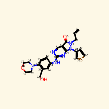 C=CCn1c(=O)c2cnc(Nc3ccc(N4CCOCC4)c(CO)c3)nc2n1-c1ccsc1